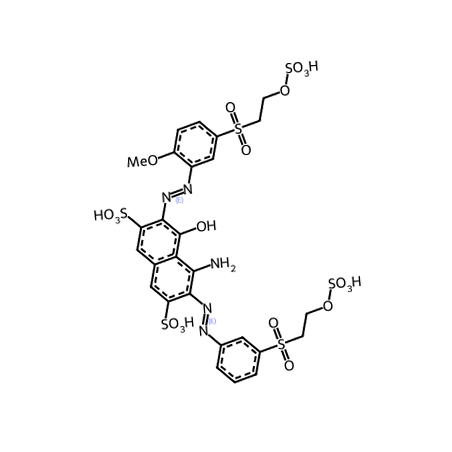 COc1ccc(S(=O)(=O)CCOS(=O)(=O)O)cc1/N=N/c1c(S(=O)(=O)O)cc2cc(S(=O)(=O)O)c(/N=N/c3cccc(S(=O)(=O)CCOS(=O)(=O)O)c3)c(N)c2c1O